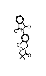 CC1(C)CON(Cc2ccc(N3C(=O)c4ccccc4C3=O)cc2Cl)C1=O